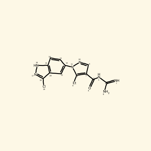 CCc1c(C(=O)NC(=N)N)cnn1-c1ccc2[nH]nc(Cl)c2c1